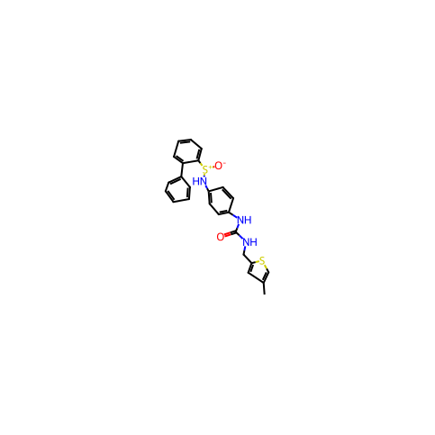 Cc1csc(CNC(=O)Nc2ccc(N[S+]([O-])c3ccccc3-c3ccccc3)cc2)c1